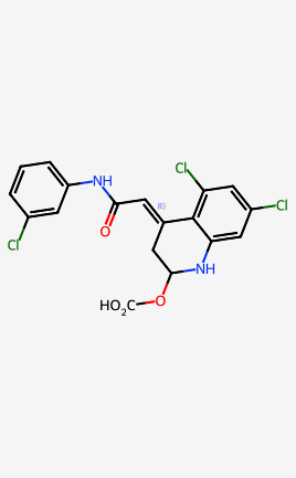 O=C(/C=C1\CC(OC(=O)O)Nc2cc(Cl)cc(Cl)c21)Nc1cccc(Cl)c1